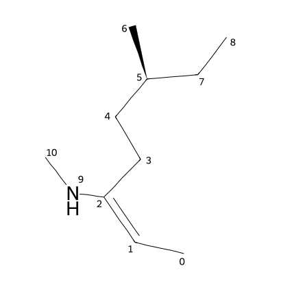 C/C=C(\CC[C@@H](C)CC)NC